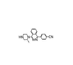 C[C@H]1CNCCN1c1nnc(-c2ccc(C#N)cc2)c2ccccc12